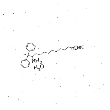 CCCCCCCCCCCCCCCCCCCC(N)C(C)(c1ccccc1)c1ccccc1.O